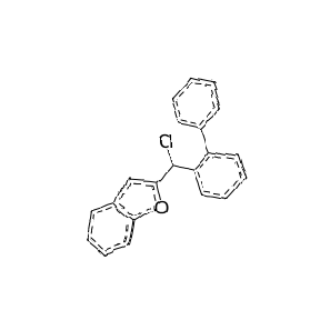 ClC(c1cc2ccccc2o1)c1ccccc1-c1ccccc1